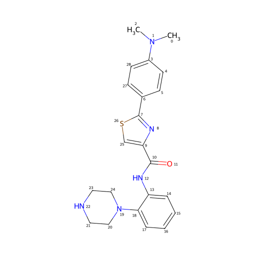 CN(C)c1ccc(-c2nc(C(=O)Nc3ccccc3N3CCNCC3)cs2)cc1